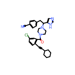 N#Cc1ccc(CC(c2cnc[nH]2)N2CCN(C(=O)c3cc(Cl)ccc3C#CC3CCCCC3)CC2)cc1